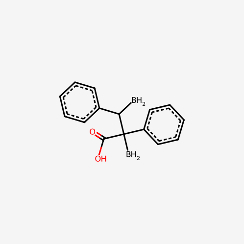 BC(c1ccccc1)C(B)(C(=O)O)c1ccccc1